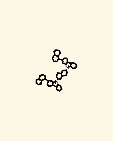 c1ccc2c(-c3ccc4c5ccccc5n(-c5ccc6cc(-n7c8ccccc8c8ccc(-c9cccc%10ccccc9%10)cc87)ccc6c5)c4c3)cccc2c1